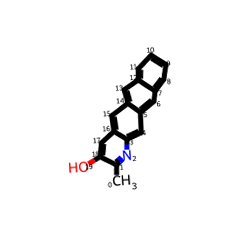 Cc1nc2cc3cc4ccccc4cc3cc2cc1O